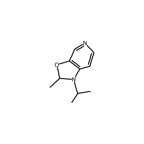 CC(C)N1c2ccncc2OC1C